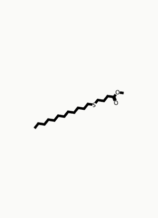 CCCCCCCCCCCCSCCCC(=O)OC